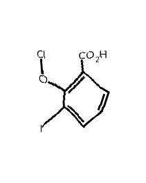 O=C(O)c1cccc(I)c1OCl